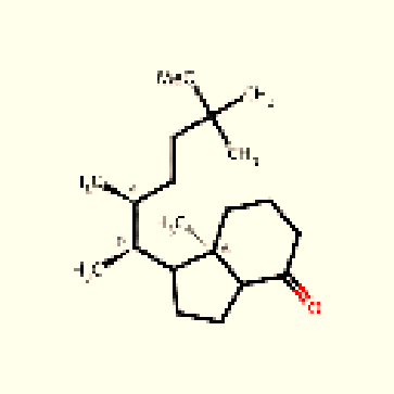 COC(C)(C)CC[C@H](C)[C@H](C)C1CCC2C(=O)CCC[C@@]21C